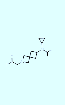 O=C(N(C1CC1)C1CC2(C1)CN(CC(F)F)C2)C(F)(F)F